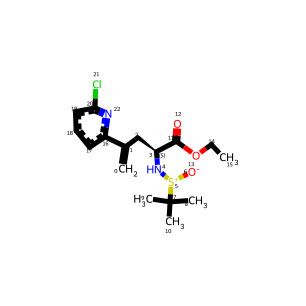 C=C(C[C@H](N[S+]([O-])C(C)(C)C)C(=O)OCC)c1cccc(Cl)n1